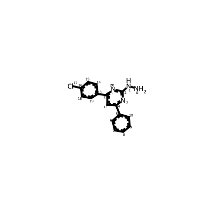 NNc1nc(-c2ccccc2)cc(-c2ccc(Cl)cc2)n1